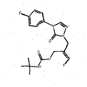 CC(C)(C)NC(=O)OC/C(=C\F)Cn1ncn(-c2ccc(F)cc2)c1=O